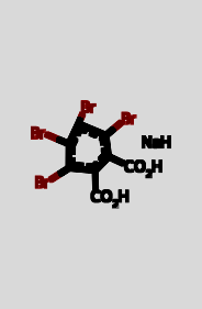 O=C(O)c1c(Br)c(Br)c(Br)c(Br)c1C(=O)O.[NaH]